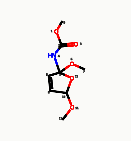 COC(=O)NC1(OC)C=CC(OC)O1